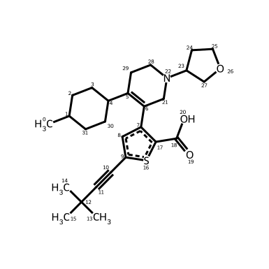 CC1CCC(C2=C(c3cc(C#CC(C)(C)C)sc3C(=O)O)CN(C3CCOC3)CC2)CC1